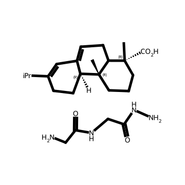 CC(C)C1=CC2=CCC3[C@](C)(C(=O)O)CCC[C@]3(C)[C@H]2CC1.NCC(=O)NCC(=O)NN